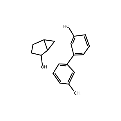 Cc1cccc(-c2cccc(O)c2)c1.OC1CCC2CC12